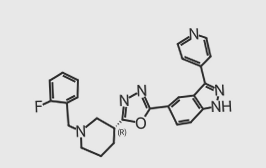 Fc1ccccc1CN1CCC[C@@H](c2nnc(-c3ccc4[nH]nc(-c5ccncc5)c4c3)o2)C1